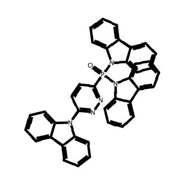 O=P(c1ccc(-n2c3ccccc3c3ccccc32)nn1)(n1c2ccccc2c2ccccc21)n1c2ccccc2c2ccccc21